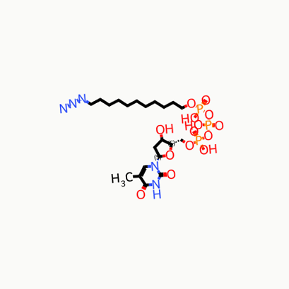 Cc1cn([C@@H]2CC(O)[C@H](COP(=O)(O)OP(=O)(O)OP(=O)(O)OCCCCCCCCCCCN=[N+]=[N-])O2)c(=O)[nH]c1=O